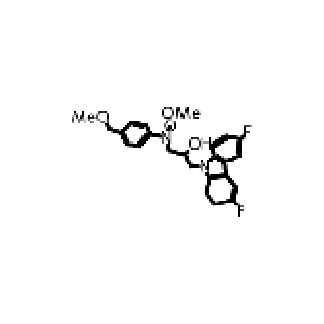 COCc1ccc(N(CC(O)Cn2c3c(c4cc(F)ccc42)C=C(F)CC3)OOC)cc1